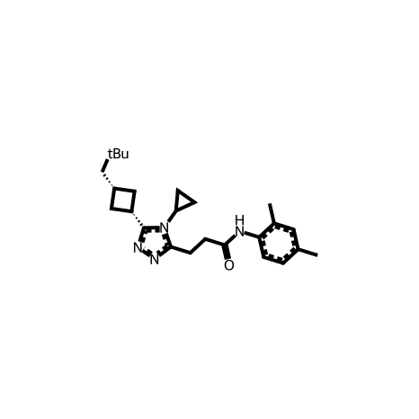 Cc1ccc(NC(=O)CCc2nnc([C@H]3C[C@@H](CC(C)(C)C)C3)n2C2CC2)c(C)c1